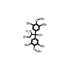 CCCCOc1c(C(C)(C)C)cc(C(O)(c2cc(C(C)(C)C)c(OCCCC)c(C(C)(C)C)c2)C(N)CC(C)C)cc1C(C)(C)C